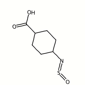 O=S=NC1CCC(C(=O)O)CC1